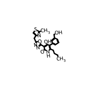 CCCCc1[nH]c(=O)c(-c2nnc(Cc3csc(C)n3)o2)c(O)c1-c1cccc(CO)c1